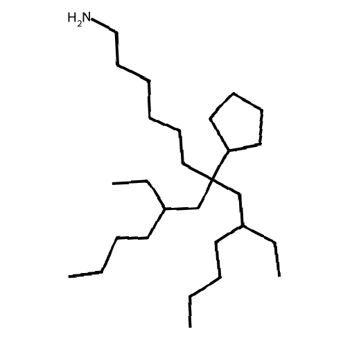 CCCCC(CC)CC(CCCCCCN)(CC(CC)CCCC)C1CCCC1